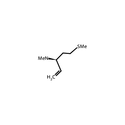 C=C[C@H](CCSC)NC